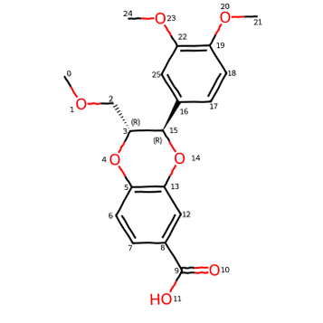 COC[C@H]1Oc2ccc(C(=O)O)cc2O[C@@H]1c1ccc(OC)c(OC)c1